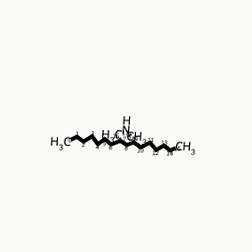 CCCCCCCCCCCCCCCC.CNC